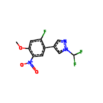 COc1cc(F)c(-c2cnn(C(F)F)c2)cc1[N+](=O)[O-]